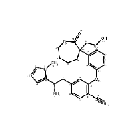 Cn1cncc1C(N)Cc1ccc(C#N)c(Oc2cccc(C3(CCO)CCCCNC3=O)c2)c1